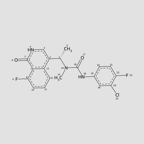 C[C@@H](c1c[nH]c(=O)c2c(F)cccc12)N(C)C(=O)Nc1ccc(F)c(Cl)c1